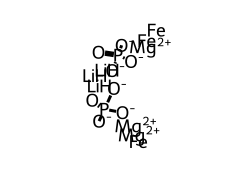 O=P([O-])([O-])[O-].O=P([O-])([O-])[O-].[Fe].[Fe].[Fe].[LiH].[LiH].[LiH].[Mg+2].[Mg+2].[Mg+2]